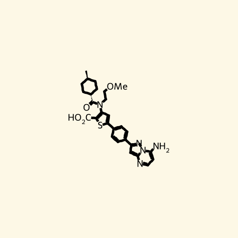 COCCN(c1cc(-c2ccc(-c3cc4nccc(N)n4n3)cc2)sc1C(=O)O)C(=O)[C@H]1CC[C@H](C)CC1